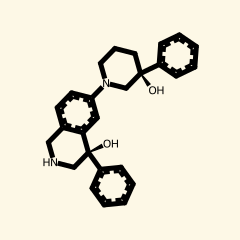 O[C@]1(c2ccccc2)CCCN(c2ccc3c(c2)[C@](O)(c2ccccc2)CNC3)C1